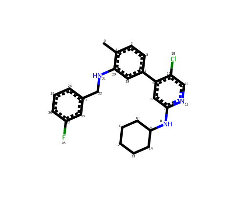 Cc1ccc(-c2cc(NC3CCCCC3)ncc2Cl)cc1NCc1cccc(F)c1